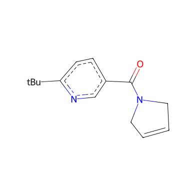 CC(C)(C)c1ccc(C(=O)N2CC=CC2)cn1